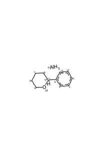 [AlH3].c1ccc([SiH]2CCCCO2)cc1